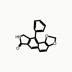 O=C1NCc2c1cc1ccc3c(c1c2-c1ccccc1)OCO3